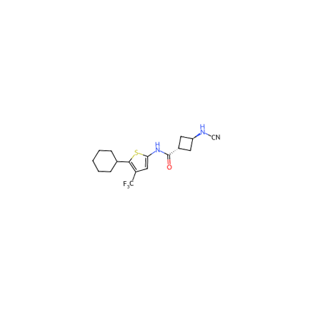 N#CN[C@H]1C[C@H](C(=O)Nc2cc(C(F)(F)F)c(C3CCCCC3)s2)C1